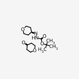 CC(C)(C)OC(=O)NN=C1CCOCC1.O=C1CCOCC1